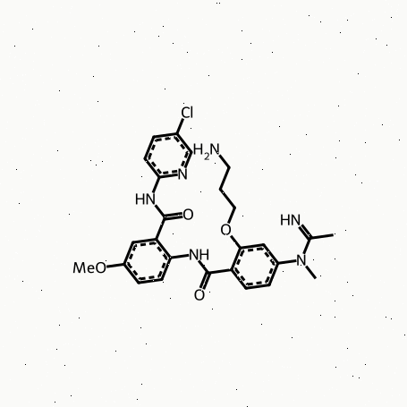 COc1ccc(NC(=O)c2ccc(N(C)C(C)=N)cc2OCCCN)c(C(=O)Nc2ccc(Cl)cn2)c1